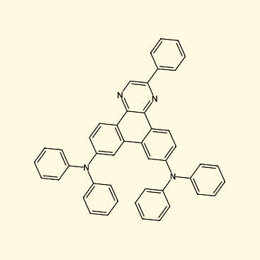 c1ccc(-c2cnc3c4ccc(N(c5ccccc5)c5ccccc5)cc4c4cc(N(c5ccccc5)c5ccccc5)ccc4c3n2)cc1